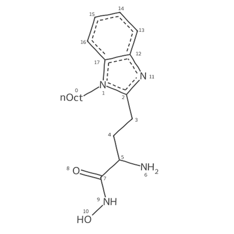 CCCCCCCCn1c(CCC(N)C(=O)NO)nc2ccccc21